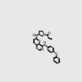 C=CC(=O)N1CCC(Nc2ccc3ncnc(Nc4ccc(Oc5ccccc5)cc4)c3n2)C1